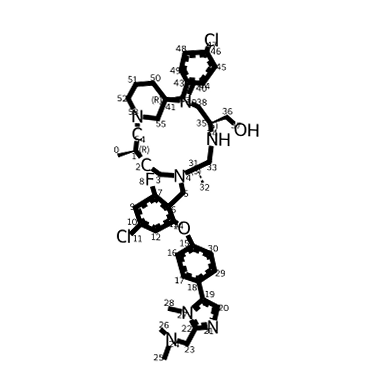 C[C@@H]1CCN(Cc2c(F)cc(Cl)cc2Oc2ccc(-c3cnc(CN(C)C)n3C)cc2)[C@@H](C)CN[C@H](CO)CN(C)[C@@]2(Cc3ccc(Cl)cc3)CCCN(C1)C2